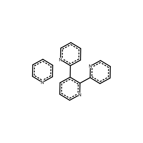 c1ccc(-c2cccnc2-c2ccccn2)nc1.c1ccncc1